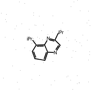 CC(C)c1cnc2cccc(C(C)C)c2n1